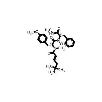 CNC(=O)[C@@H](Cc1ccccc1)N(C)C(=O)[C@@H](Cc1ccc(OC)cc1)N(C)C(=O)/C=C/CC(C)(C)N